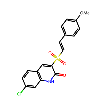 COc1ccc(C=CS(=O)(=O)c2cc3ccc(Cl)cc3[nH]c2=O)cc1